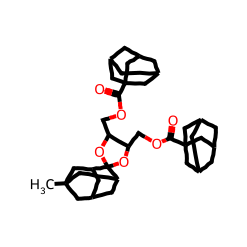 CC12CC3CC(C1)C1(OC(COC(=O)C45CC6CC(CC(C6)C4)C5)C(COC(=O)C45CC6CC(CC(C6)C4)C5)O1)C(C3)C2